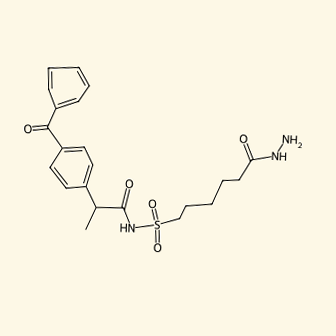 CC(C(=O)NS(=O)(=O)CCCCCC(=O)NN)c1ccc(C(=O)c2ccccc2)cc1